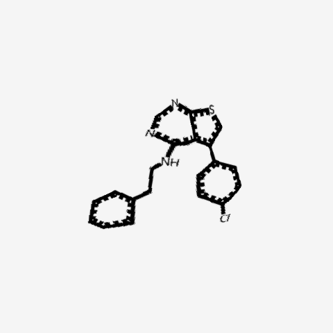 Clc1ccc(-c2csc3ncnc(NCCc4ccccc4)c23)cc1